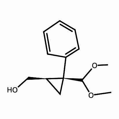 COC(OC)[C@@]1(c2ccccc2)C[C@H]1CO